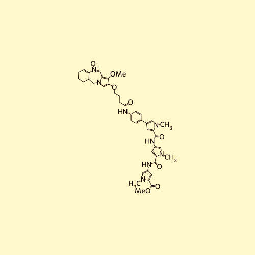 COC(=O)c1cc(NC(=O)c2cc(NC(=O)c3cc(-c4ccc(NC(=O)CCCOc5cn6c(c5OC)C=[N+]([O-])C5=CCCCC5C6)cc4)cn3C)cn2C)cn1C